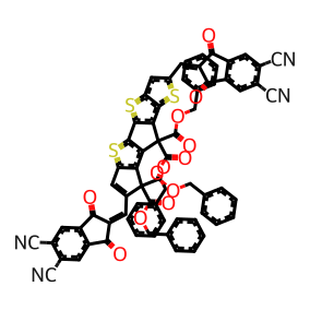 N#Cc1cc2c(cc1C#N)C(=O)C(=CC1=Cc3sc4c(c3C1(C(=O)OCc1ccccc1)C(=O)OCc1ccccc1)C(C(=O)OCc1ccccc1)(C(=O)OCc1ccccc1)c1c-4sc3cc(C=C4C(=O)c5cc(C#N)c(C#N)cc5C4=O)sc13)C2=O